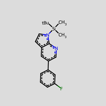 CC(C)(C)[Si](C)(C)n1ccc2cc(-c3cccc(F)c3)cnc21